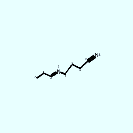 CCC=NCCCC#N